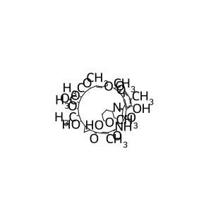 COC1/C=C/OC2(C)Oc3c(C)c(O)c4c(c3C2=O)/C(=N/C2CCC(O)OC2C)C=C(NC(=O)/C(C)=C\C(=O)C2CC2C(O)C(C)C2OC(=O)OC(C1C)C2C)C4=O